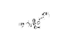 CCCOP(=O)(O)SCC